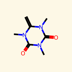 C=C1N(C)C(=O)N(C)C(=O)N1C